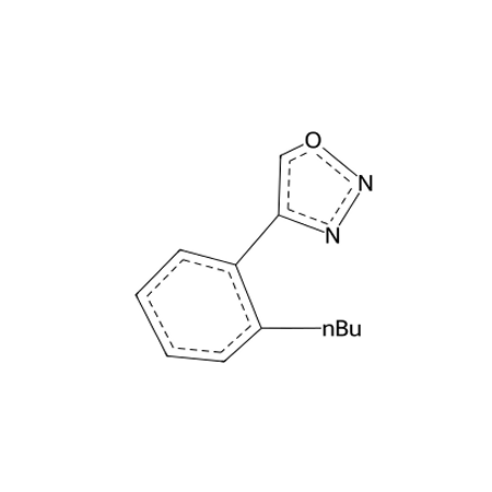 CCCCc1ccccc1-c1conn1